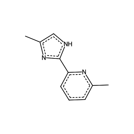 Cc1cccc(-c2nc(C)c[nH]2)n1